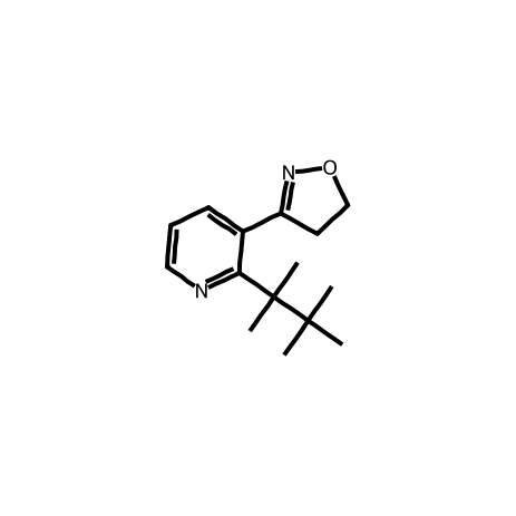 CC(C)(C)C(C)(C)c1ncccc1C1=NOCC1